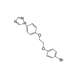 Brc1ccc(OCCOc2ccc(-n3cncn3)cc2)cc1